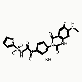 CNc1cc2[nH]c(=O)n(-c3ccc(N(Cl)C(=O)NS(=O)(=O)c4cccs4)cc3)c(=O)c2cc1F.[KH]